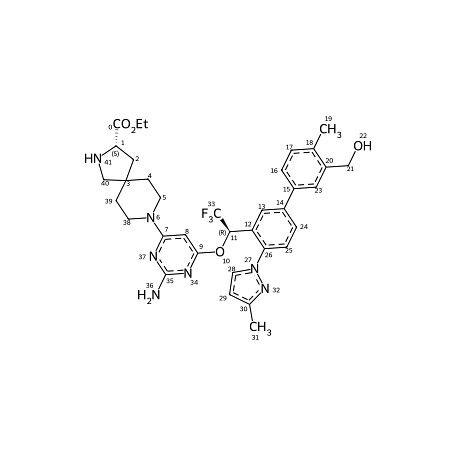 CCOC(=O)[C@@H]1CC2(CCN(c3cc(O[C@H](c4cc(-c5ccc(C)c(CO)c5)ccc4-n4ccc(C)n4)C(F)(F)F)nc(N)n3)CC2)CN1